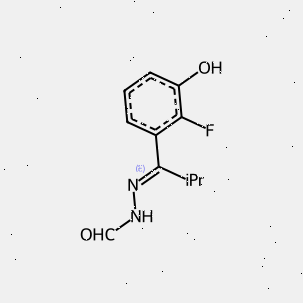 CC(C)/C(=N\NC=O)c1cccc(O)c1F